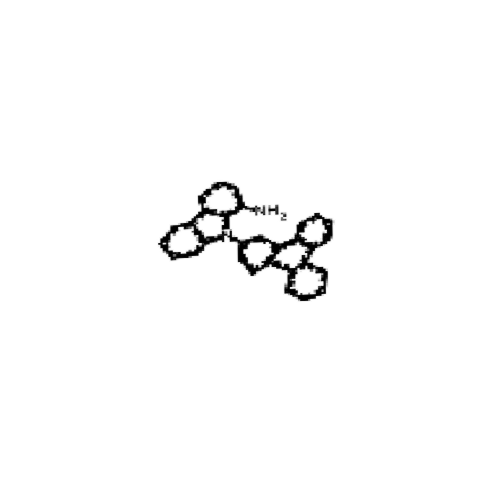 Nc1cccc2c3ccccc3n(-c3ccc4c5ccccc5c5ccccc5c4c3)c12